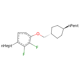 CCCCCCCc1ccc(OC[C@H]2CC[C@H](CCCCC)CC2)c(F)c1F